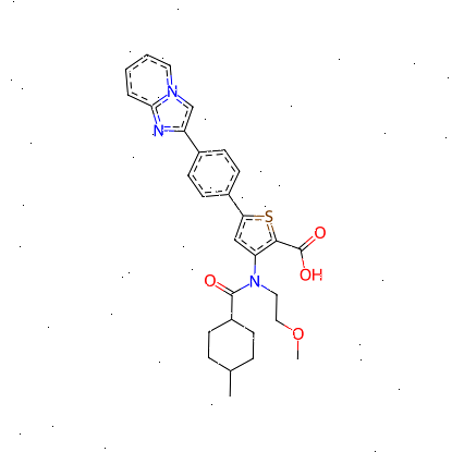 COCCN(C(=O)C1CCC(C)CC1)c1cc(-c2ccc(-c3cn4ccccc4n3)cc2)sc1C(=O)O